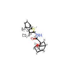 CCC12CCC(C1)c1sc(NC(=O)C34CC5CC(CC(C5)O3)C4)c(C(=O)O)c12